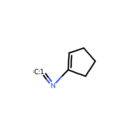 C1=C(N=[C:1])CCC1